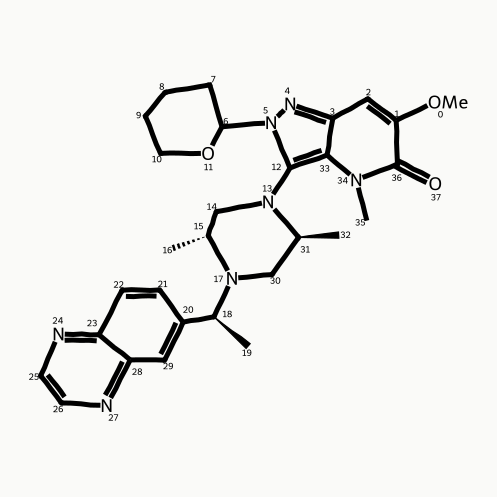 COc1cc2nn(C3CCCCO3)c(N3C[C@@H](C)N([C@@H](C)c4ccc5nccnc5c4)C[C@@H]3C)c2n(C)c1=O